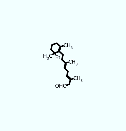 CCC1(C)CCCC(C)=C1CC/C(C)=C/C/C=C(\C)CC=O